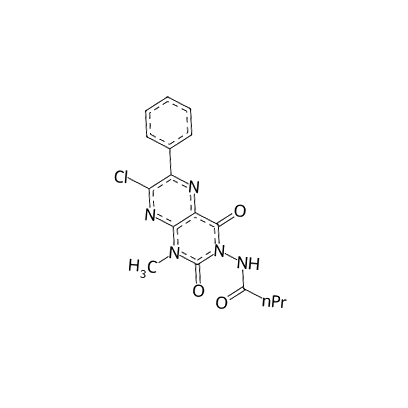 CCCC(=O)Nn1c(=O)c2nc(-c3ccccc3)c(Cl)nc2n(C)c1=O